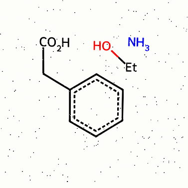 CCO.N.O=C(O)Cc1ccccc1